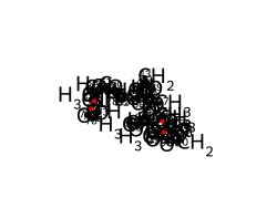 C=C1CC2[C@H](OC3CCCCO3)N(C(=O)OC(C)(C)C)c3cc(OCc4cc(COc5cc6c(cc5OC)C(=O)N5CC(=C)C[C@H]5[C@H](O)N6C(=O)OCc5ccc(NC(=O)[C@H](C)NC(=O)[C@@H](NC(=O)CCN6C(=O)C=CC6=O)C(C)C)cc5)cc(C(=O)OC)c4)c(OC)cc3C(=O)N2C1